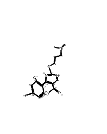 CN(C)CCCOc1ncc(C(=O)O)c(-c2ccc(F)cc2Cl)n1